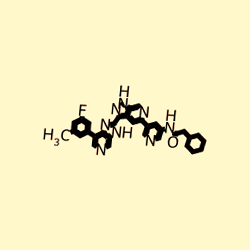 Cc1cc(F)cc(-c2cncc3[nH]c(-c4n[nH]c5cnc(-c6cncc(NC(=O)CC7CCCCC7)c6)cc45)nc23)c1